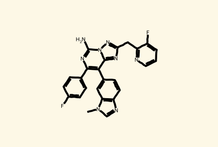 Cn1cnc2ccc(-c3c(-c4ccc(F)cc4)nc(N)n4nc(Cc5ncccc5F)nc34)cc21